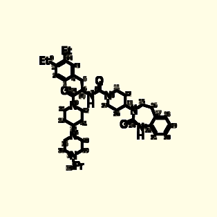 CCc1ccc(C[C@@H](NC(=O)N2CCC(N3CCc4ccccc4NC3=O)CC2)C(=O)N2CCC(N3CCN(C(C)C)CC3)CC2)cc1CC